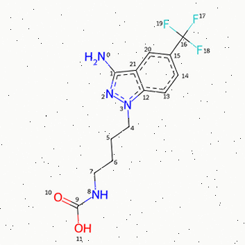 Nc1nn(CCCCNC(=O)O)c2ccc(C(F)(F)F)cc12